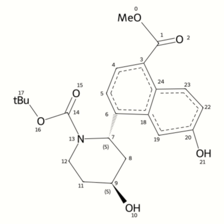 COC(=O)c1ccc([C@@H]2C[C@@H](O)CCN2C(=O)OC(C)(C)C)c2cc(O)ccc12